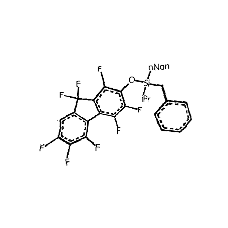 CCCCCCCCC[Si](Cc1ccccc1)(Oc1c(F)c(F)c2c(c1F)C(F)(F)c1[c]c(F)c(F)c(F)c1-2)C(C)C